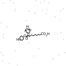 CC1(C)CNCC(C)(C)N1.O=C(O)CCCCCCCCC(=O)OC1CCNCC1